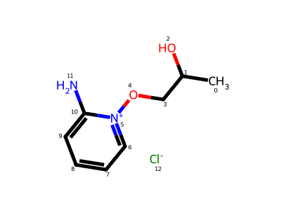 CC(O)CO[n+]1ccccc1N.[Cl-]